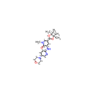 Cn1cc(B2OC(C)(C)C(C)(C)O2)cc(Nc2ccc(N3CCOCC3)cn2)c1=O